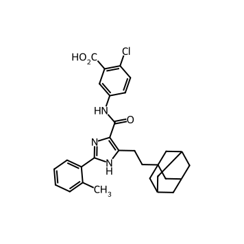 Cc1ccccc1-c1nc(C(=O)Nc2ccc(Cl)c(C(=O)O)c2)c(CCC23CC4CC(CC(C4)C2)C3)[nH]1